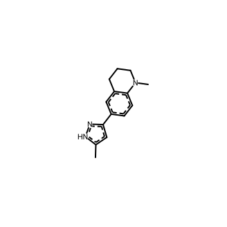 Cc1cc(-c2ccc3c(c2)CCCN3C)n[nH]1